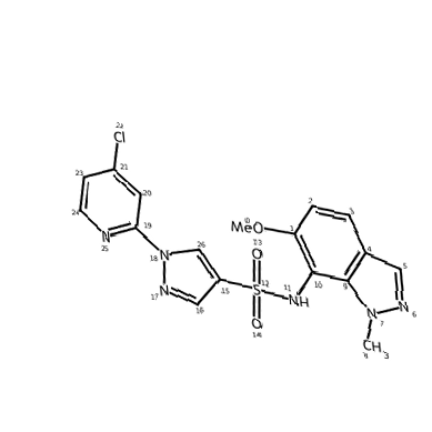 COc1ccc2cnn(C)c2c1NS(=O)(=O)c1cnn(-c2cc(Cl)ccn2)c1